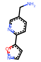 NCc1ccc(-c2ccno2)nc1